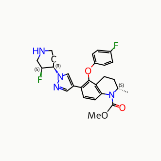 COC(=O)N1c2ccc(-c3cnn([C@@H]4CCNC[C@@H]4F)c3)c(Oc3ccc(F)cc3)c2CC[C@@H]1C